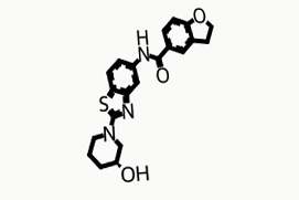 O=C(Nc1ccc2sc(N3CCC[C@H](O)C3)nc2c1)c1ccc2c(c1)CCO2